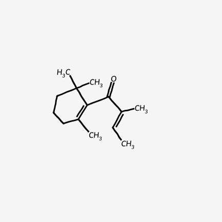 CC=C(C)C(=O)C1=C(C)CCCC1(C)C